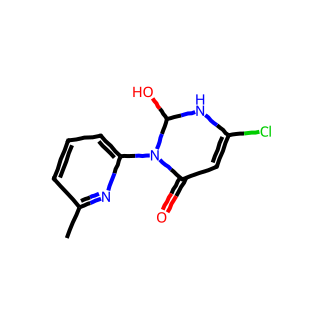 Cc1cccc(N2C(=O)C=C(Cl)NC2O)n1